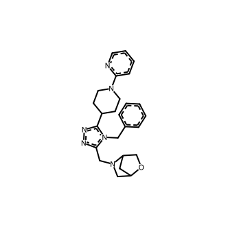 c1ccc(Cn2c(CN3CC4CC3CO4)nnc2C2CCN(c3ccccn3)CC2)cc1